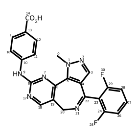 Cn1ncc2c1-c1nc(Nc3ccc(C(=O)O)cc3)ncc1CN=C2c1c(F)cccc1F